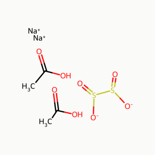 CC(=O)O.CC(=O)O.O=S([O-])S(=O)[O-].[Na+].[Na+]